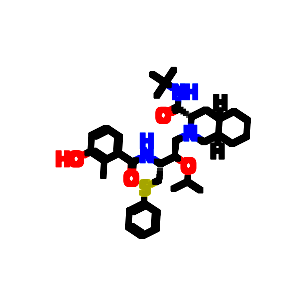 Cc1c(O)cccc1C(=O)N[C@@H](CSc1ccccc1)[C@@H](CN1C[C@H]2CCCC[C@H]2C[C@H]1C(=O)NC(C)(C)C)OC(C)C